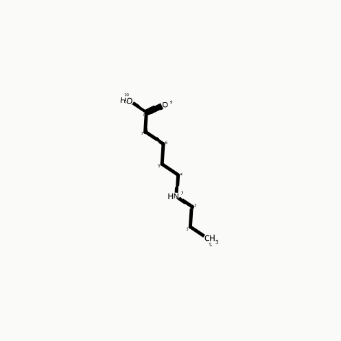 CCCNCCCCC(=O)O